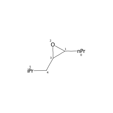 CCCC1OC1CC(C)C